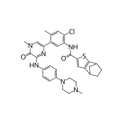 Cc1cc(Cl)c(NC(=O)c2cc3c(s2)C2CCC3C2)cc1-c1cn(C)c(=O)c(Nc2ccc(N3CCN(C)CC3)cc2)n1